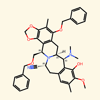 COc1c(C)cc2c(c1O)[C@H](N(C)C)[C@@H]1Cc3c(OCc4ccccc4)c(C)c4c(c3[C@H](COCc3ccccc3)N1[C@@H](C#N)C2)OCO4